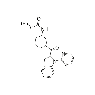 CC(C)(C)OC(=O)NC1CCCN(C(=O)C2Cc3ccccc3N2c2ncccn2)C1